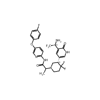 CC(C(=O)Nc1ccc(Oc2ccc(F)cc2)cn1)N1CCC(F)(F)[C@@H](c2c[nH]c(=O)c([C@H](N)C(F)(F)F)c2)C1